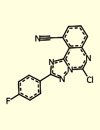 N#Cc1cccc2nc(Cl)n3nc(-c4ccc(F)cc4)nc3c12